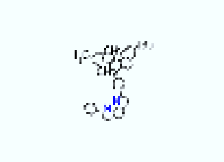 Cc1cc(C)c(-c2cc(-c3ccc(-c4ccc5ccc6ccc(-c7ccccc7)nc6c5n4)cc3)c3ccc4cc(C(C)(C)C)cc5ccc2c3c45)c(C)c1